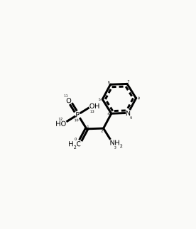 C=C(C(N)c1ccccn1)P(=O)(O)O